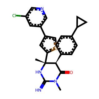 CN1C(=N)N[C@](C)(c2cc(-c3cncc(Cl)c3)cs2)[C@@H](c2ccc(C3CC3)cc2)C1=O